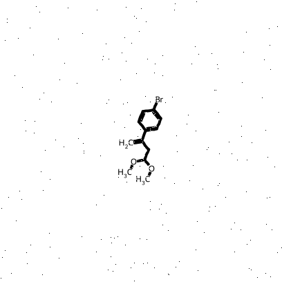 C=C(CC(OC)OC)c1ccc(Br)cc1